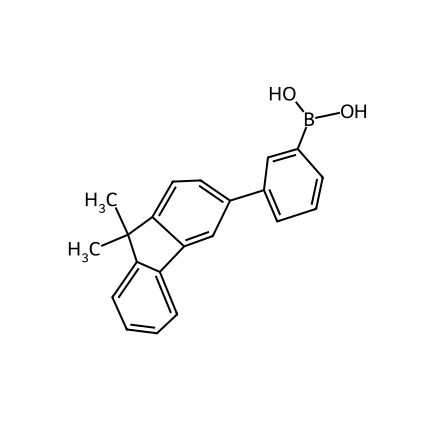 CC1(C)c2ccccc2-c2cc(-c3cccc(B(O)O)c3)ccc21